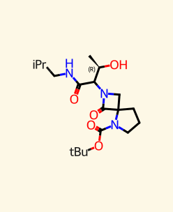 CC(C)CNC(=O)C([C@@H](C)O)N1CC2(CCCN2C(=O)OC(C)(C)C)C1=O